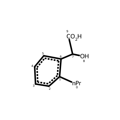 CCCc1ccccc1C(O)C(=O)O